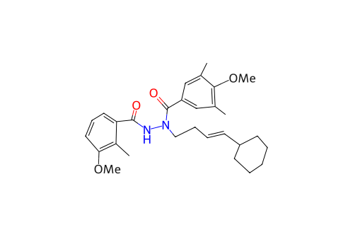 COc1cccc(C(=O)NN(CCC=CC2CCCCC2)C(=O)c2cc(C)c(OC)c(C)c2)c1C